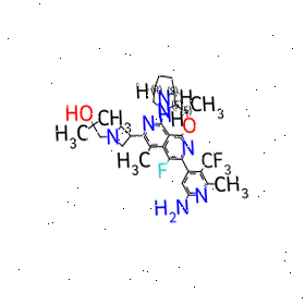 Cc1nc(N)cc(-c2nc3c4c(nc(C5CN(CC(C)(C)O)C5)c(C)c4c2F)N2C[C@H]4CC[C@H](N4)[C@H]2[C@H](C)O3)c1C(F)(F)F